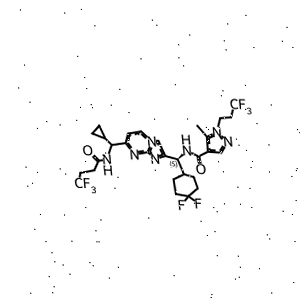 Cc1c(C(=O)N[C@H](c2cn3ccc(C(NC(=O)CCC(F)(F)F)C4CC4)nc3n2)C2CCC(F)(F)CC2)cnn1CCC(F)(F)F